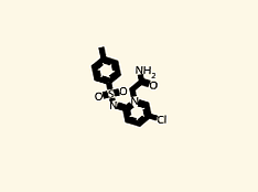 Cc1ccc(S(=O)(=O)N=c2ccc(Cl)cn2CC(N)=O)cc1